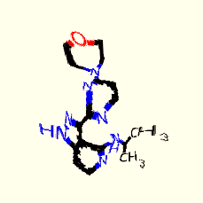 CC(C)Nc1nccc2[nH]nc(-c3nccc(N4CCOCC4)n3)c12